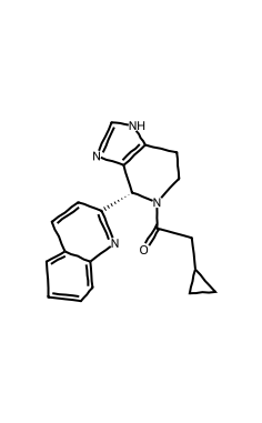 O=C(CC1CC1)N1CCc2[nH]cnc2[C@H]1c1ccc2ccccc2n1